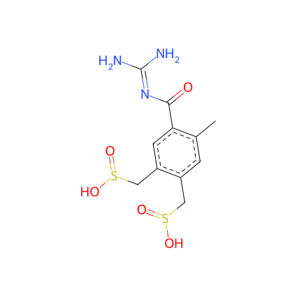 Cc1cc(CS(=O)O)c(CS(=O)O)cc1C(=O)N=C(N)N